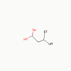 CCCC(CC)CC(O)O